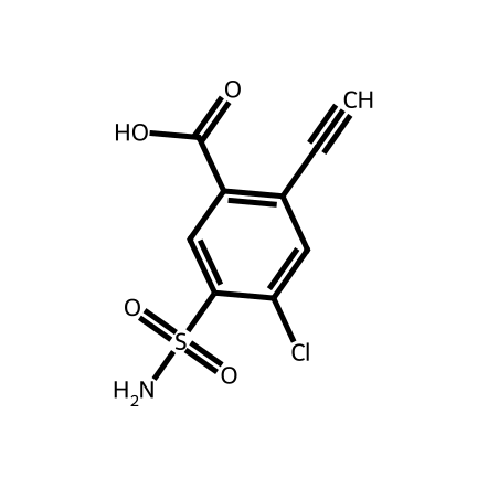 C#Cc1cc(Cl)c(S(N)(=O)=O)cc1C(=O)O